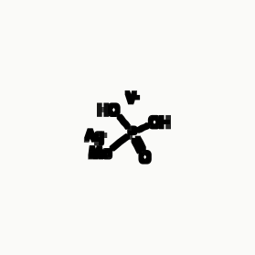 O=[P](O)(O)[Mo].[Ag].[V]